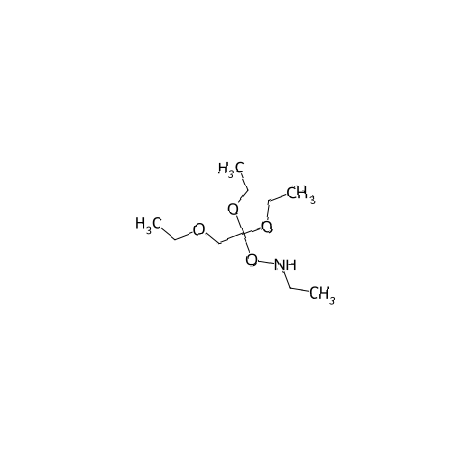 CCNOC(COCC)(OCC)OCC